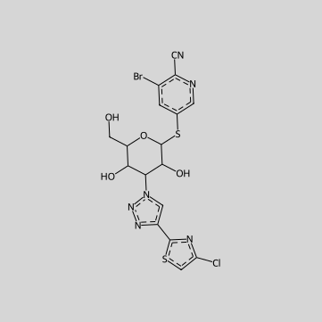 N#Cc1ncc(SC2OC(CO)C(O)C(n3cc(-c4nc(Cl)cs4)nn3)C2O)cc1Br